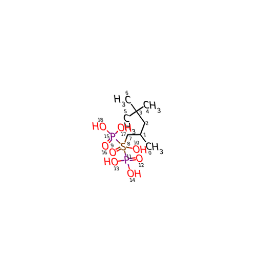 CC(CC(C)(C)C)CS(=O)(O)(P(=O)(O)O)P(=O)(O)O